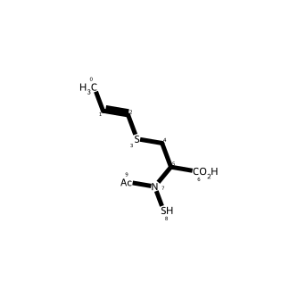 CC=CSCC(C(=O)O)N(S)C(C)=O